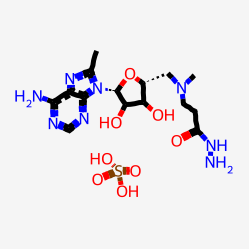 Cc1nc2c(N)ncnc2n1[C@@H]1O[C@H](CN(C)CCC(=O)NN)C(O)C1O.O=S(=O)(O)O